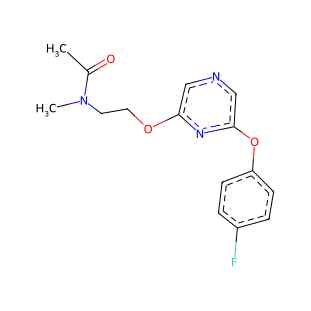 CC(=O)N(C)CCOc1cncc(Oc2ccc(F)cc2)n1